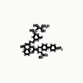 CCN(CC)CCN(Cc1ccc(-c2ccc(C(F)(F)F)cc2)cc1)C(=O)Cn1c(CCc2cc(F)cc(F)c2)nc(=O)c2ccccc21.O=C(O)C(O)C(O)C(=O)O